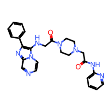 O=C(CN1CCN(C(=O)CNc2c(-c3ccccc3)nc3cnccn23)CC1)Nc1ccccn1